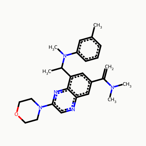 C=C(c1cc(C(C)N(C)c2cccc(C)c2)c2nc(N3CCOCC3)cnc2c1)N(C)C